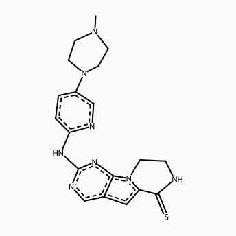 CN1CCN(c2ccc(Nc3ncc4cc5n(c4n3)CCNC5=S)nc2)CC1